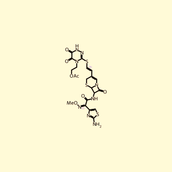 CO/N=C(\C(=O)NC1C(=O)N2C=C(/C=C/Sc3n[nH]c(=O)c(=O)n3CCOC(C)=O)CSC12)c1csc(N)n1